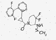 CSNC1CN(C(=O)C2CC2c2ccccc2-c2c(F)cccc2F)CCC1(F)F